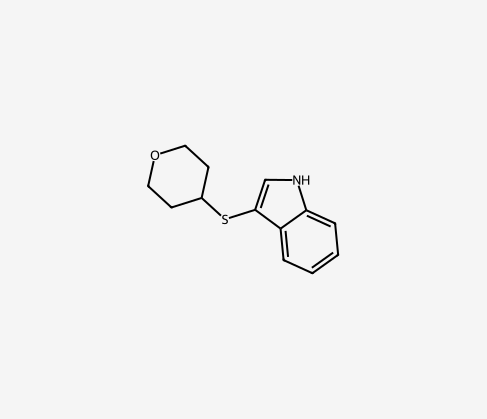 c1ccc2c(SC3CCOCC3)c[nH]c2c1